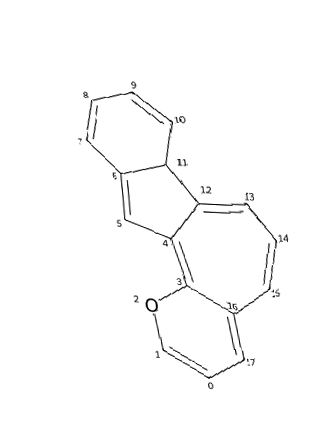 C1=COC2=C3C=C4C=CC=CC4C3=CC=CC2=C1